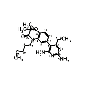 CCc1nc(N)nc(N)c1-c1ccc2c(c1)N(CCCOC)C(=O)C(C)(C)O2